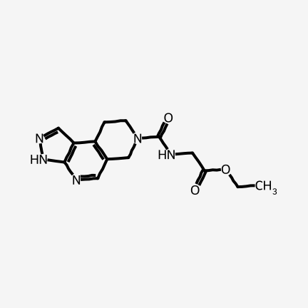 CCOC(=O)CNC(=O)N1CCc2c(cnc3[nH]ncc23)C1